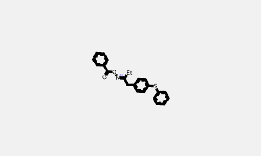 CC/C(Cc1ccc(Sc2ccccc2)cc1)=N\OC(=O)c1ccccc1